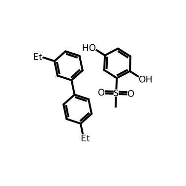 CCc1ccc(-c2cccc(CC)c2)cc1.CS(=O)(=O)c1cc(O)ccc1O